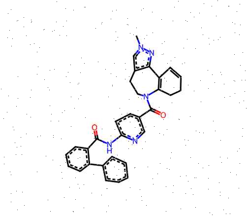 Cn1cc2c(n1)C1=C(CCC=C1)N(C(=O)c1ccc(NC(=O)c3ccccc3-c3ccccc3)nc1)CC2